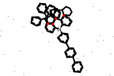 c1ccc(-c2ccc(-c3ccc(N(c4ccccc4-c4cccc5cccc(C6CCCCC6)c45)c4cccc5c4-c4ccccc4C5(c4ccccc4)c4ccccc4)cc3)cc2)cc1